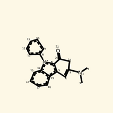 CN(C)C1=Cc2c(n(-c3ccccc3)c3ccccc23)C(=O)C1